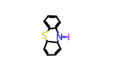 IN1c2ccccc2SC2C=CC=CC21